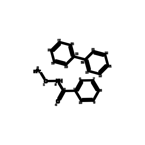 CCCONC(=O)c1ccccc1.c1ccc(-c2ccccc2)cc1